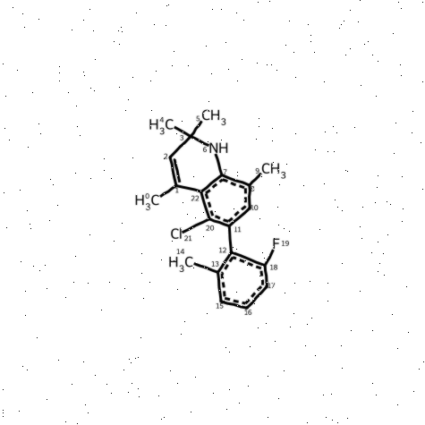 CC1=CC(C)(C)Nc2c(C)cc(-c3c(C)cccc3F)c(Cl)c21